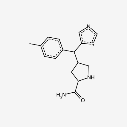 Cc1ccc(C(c2cncs2)C2CNC(C(N)=O)C2)cc1